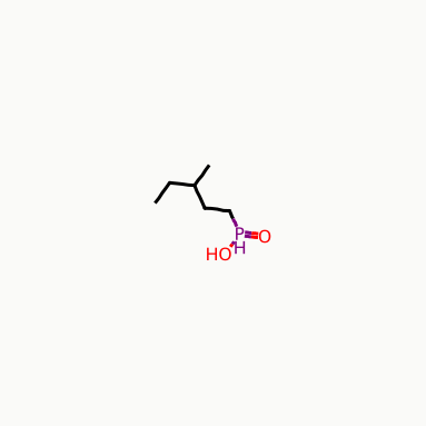 CCC(C)CC[PH](=O)O